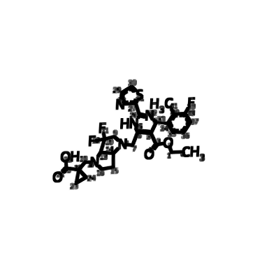 CCOC(=O)C1=C(CN2CC(F)(F)C3C2CCN3CC2(C(=O)O)CC2)NC(c2nccs2)=N[C@H]1c1cccc(F)c1C